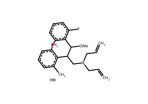 Br.C=CCN(CC=C)CC(c1c(C)cccc1C)C(OC)c1c(F)cccc1F